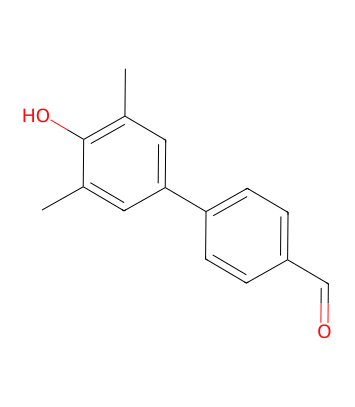 Cc1cc(-c2ccc(C=O)cc2)cc(C)c1O